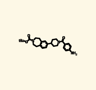 CC(C)(C)OC(=O)N1CCc2ccc(C3CCN(C(=O)c4ccc(N)cc4)CC3)cc2CC1